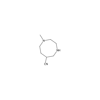 CN1CCNCC(C#N)CC1